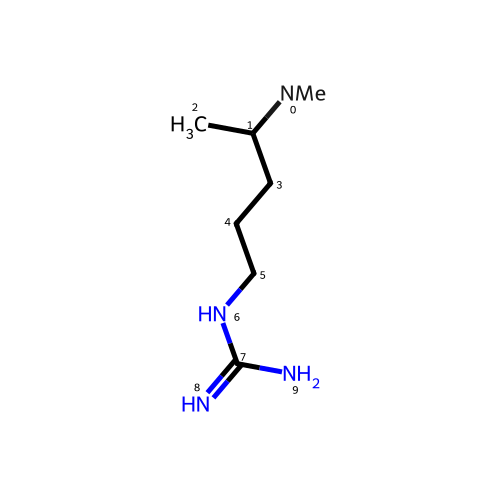 CNC(C)CCCNC(=N)N